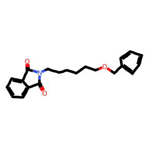 O=C1c2ccccc2C(=O)N1CCCCCCOCc1ccccc1